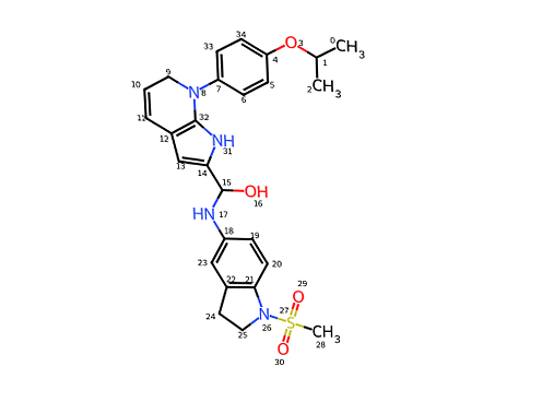 CC(C)Oc1ccc(N2CC=Cc3cc(C(O)Nc4ccc5c(c4)CCN5S(C)(=O)=O)[nH]c32)cc1